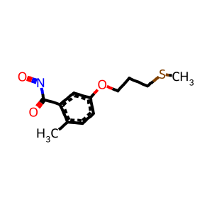 CSCCCOc1ccc(C)c(C(=O)N=O)c1